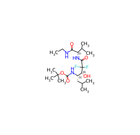 CCNC(=O)[C@@H](NC(=O)C(F)(F)[C@H](O)[C@H](CC(C)C)NC(=O)OC(C)(C)C)C(C)C